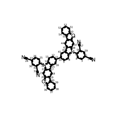 N#Cc1ccc(-n2c3ccc(-c4ccc5c(c4)c4cc6c(cc4n5-c4ccc(C#N)cc4C#N)oc4ccccc46)cc3c3cc4c(cc32)oc2ccccc24)c(C#N)c1